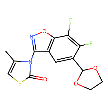 Cc1csc(=O)n1-c1noc2c(F)c(F)c(C3OCCO3)cc12